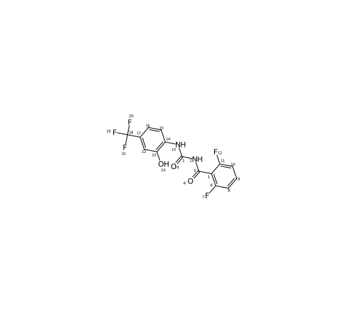 O=C(NC(=O)c1c(F)cccc1F)Nc1ccc(C(F)(F)F)cc1O